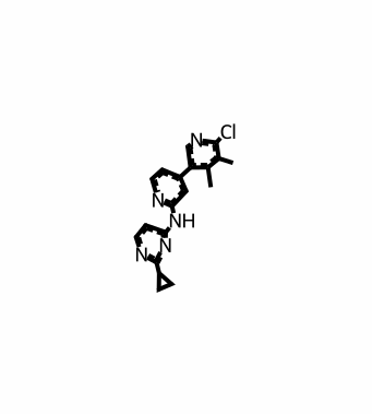 Cc1c(-c2ccnc(Nc3ccnc(C4CC4)n3)c2)cnc(Cl)c1C